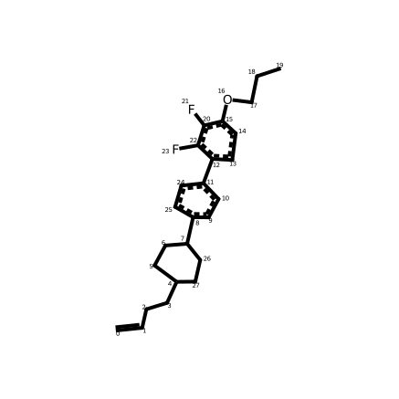 C=CCCC1CCC(c2ccc(-c3ccc(OCCC)c(F)c3F)cc2)CC1